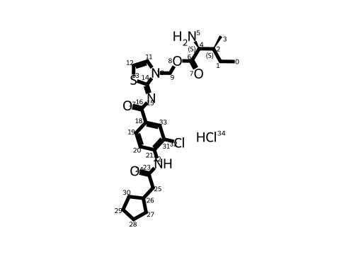 CC[C@H](C)[C@H](N)C(=O)OCn1ccsc1=NC(=O)c1ccc(NC(=O)CC2CCCC2)c(Cl)c1.Cl